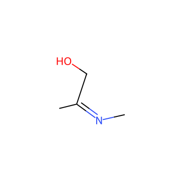 CN=C(C)CO